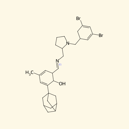 CC1=CC(/C=N/CC2CCCN2CC2C=C(Br)C=C(Br)C2)C(O)C(C23CC4CC(C2)C(C4)C3)=C1